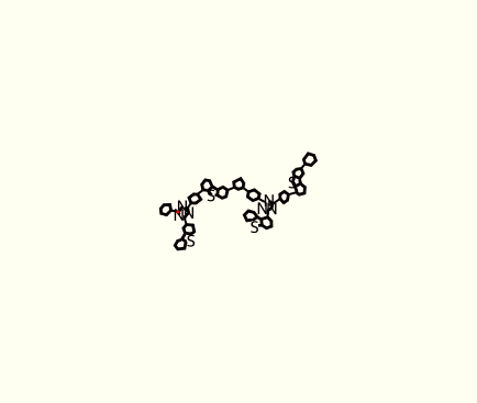 c1ccc(-c2ccc3sc4c(-c5ccc(-c6nc(-c7ccc(-c8cccc(-c9ccc%10sc%11c(-c%12ccc(-c%13nc(-c%14ccccc%14)nc(-c%14ccc%15sc%16ccccc%16c%15c%14)n%13)cc%12)cccc%11c%10c9)c8)cc7)nc(-c7cccc8sc9ccccc9c78)n6)cc5)cccc4c3c2)cc1